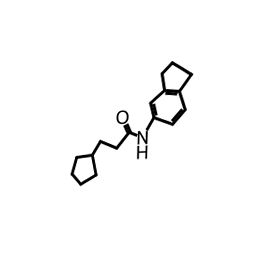 O=C(CCC1CCCC1)Nc1ccc2c(c1)CCC2